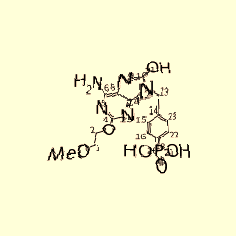 COCCOc1nc(N)c2nc(O)n(Cc3ccc(P(=O)(O)O)cc3)c2n1